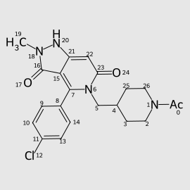 CC(=O)N1CCC(Cn2c(-c3ccc(Cl)cc3)c3c(=O)n(C)[nH]c3cc2=O)CC1